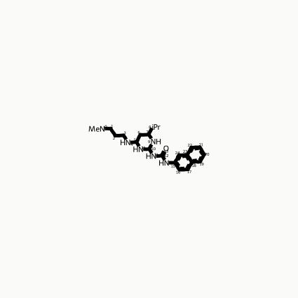 CNCCCNC1CC(C(C)C)NC(NC(=O)Nc2ccc3ccccc3c2)N1